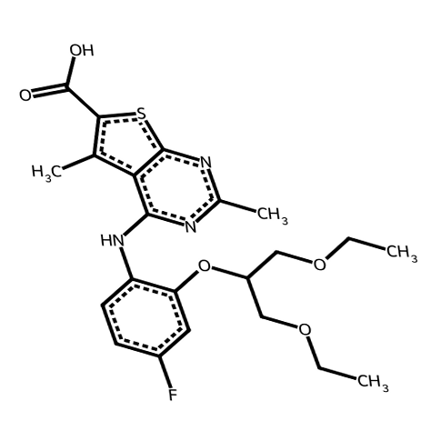 CCOCC(COCC)Oc1cc(F)ccc1Nc1nc(C)nc2sc(C(=O)O)c(C)c12